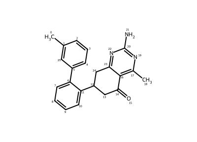 Cc1cccc(-c2ccccc2C2CC(=O)c3c(C)nc(N)nc3C2)c1